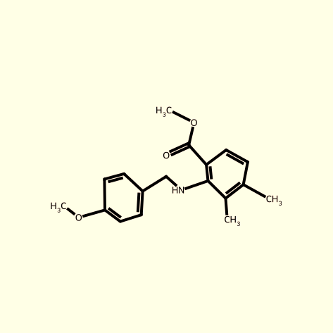 COC(=O)c1ccc(C)c(C)c1NCc1ccc(OC)cc1